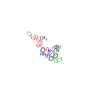 CC(OC(=O)OC1CCCCC1)OC(=O)c1ccc2c(c1)ON1[C@@H](CC(C)(C)C)[C@](C#N)(c3ccc(Cl)cc3F)[C@@H](c3cccc(Cl)c3F)[C@@H]1C(=O)N2